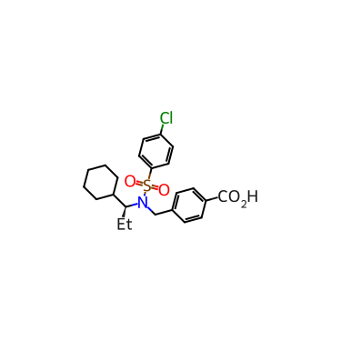 CC[C@@H](C1CCCCC1)N(Cc1ccc(C(=O)O)cc1)S(=O)(=O)c1ccc(Cl)cc1